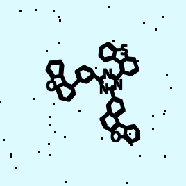 c1cc(-c2nc(-c3ccc4c(ccc5oc6ccccc6c54)c3)nc(-c3cccc4sc5ccccc5c34)n2)cc(-c2cccc3oc4ccccc4c23)c1